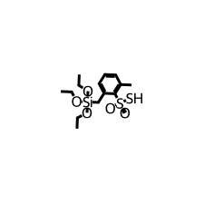 CCO[Si](Cc1cccc(C)c1S(=O)(=O)S)(OCC)OCC